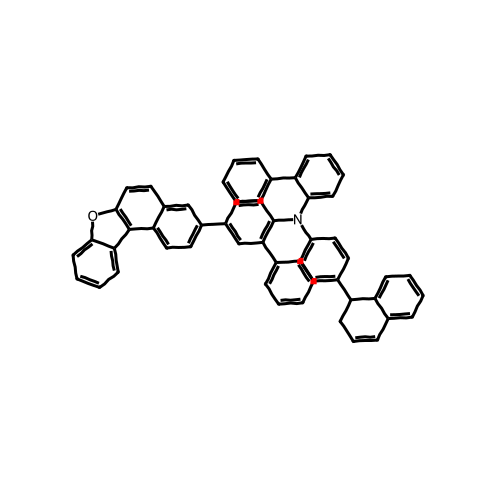 C1=Cc2ccccc2C(c2ccc(N(c3ccccc3-c3ccccc3)c3ccc(-c4ccc5c(ccc6oc7ccccc7c65)c4)cc3-c3ccccc3)cc2)C1